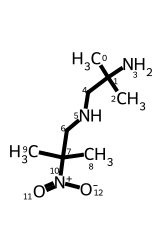 CC(C)(N)CNCC(C)(C)[N+](=O)[O-]